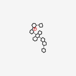 c1ccc(-c2ccc3ccc(-c4c5ccccc5c(-c5cccc6c5oc5c(-c7ccccc7)cccc56)c5ccccc45)cc3c2)cc1